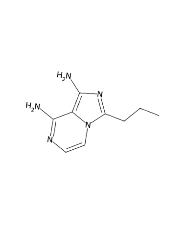 CCCc1nc(N)c2c(N)nccn12